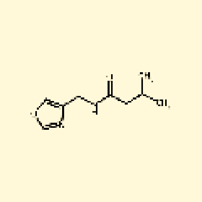 CC(C)CC(=O)NCc1cocn1